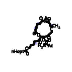 CCCCCCCC(=O)OCC/C=C/C1OC1C1OC(=O)/C=C\C=C\C(=O)N(C(C)=O)C(=O)/C=C(/C)CCC2OC2C1OC(=O)N(C)C(C)=O